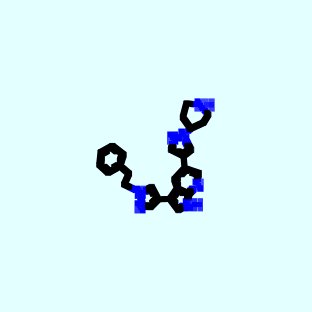 c1ccc(CCn2cc(-c3c[nH]c4ncc(-c5cnn(C6CCNCC6)c5)cc34)cn2)cc1